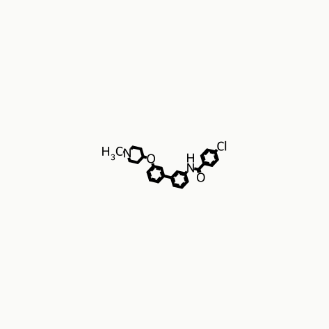 CN1CCC(Oc2cccc(-c3cccc(NC(=O)c4ccc(Cl)cc4)c3)c2)CC1